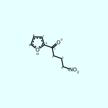 O=C(CCC[N+](=O)[O-])c1ccco1